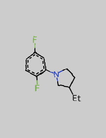 CCC1CCN(c2cc(F)ccc2F)C1